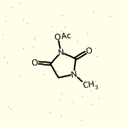 CC(=O)ON1C(=O)CN(C)C1=O